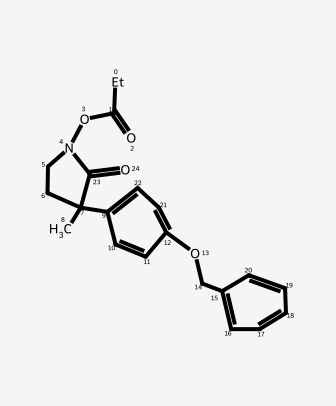 CCC(=O)ON1CCC(C)(c2ccc(OCc3ccccc3)cc2)C1=O